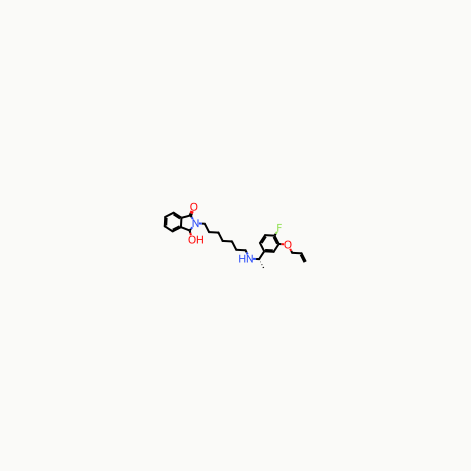 C=CCOc1cc([C@H](C)NCCCCCCCN2C(=O)c3ccccc3C2O)ccc1F